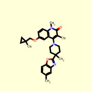 Cc1ccc2oc(C3(C)CCN(c4c(C#N)c(=O)n(C)c5ccc(OCC6(C#N)CC6)cc45)CC3)nc2c1